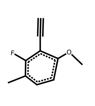 C#Cc1c(OC)ccc(C)c1F